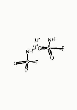 [Li+].[Li+].[NH-]S(=O)(=O)F.[NH-]S(=O)(=O)F